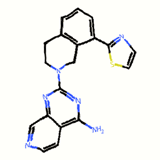 Nc1nc(N2CCc3cccc(-c4nccs4)c3C2)nc2cnccc12